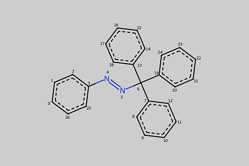 c1ccc(N=NC(c2ccccc2)(c2ccccc2)c2ccccc2)cc1